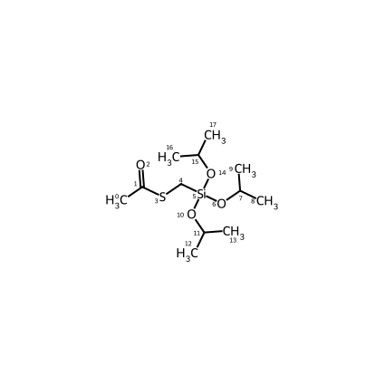 CC(=O)SC[Si](OC(C)C)(OC(C)C)OC(C)C